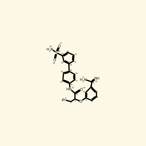 CC(C)CC(Oc1cccc(C(=N)N)c1)C(=O)Nc1ccc(-c2cccc(S(N)(=O)=O)c2)cc1